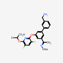 CCC(Oc1nc(Oc2cc(C(C)=NOC)cc(-c3cccc(CN)c3)c2)c(F)cc1F)C(=O)O